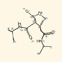 CC(C)NC(=O)c1no[n+]([O-])c1C(=O)NC(C)C